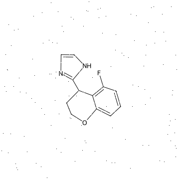 Fc1cccc2c1C(c1ncc[nH]1)CCO2